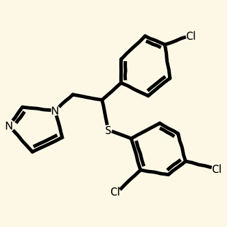 Clc1ccc(C(Cn2ccnc2)Sc2ccc(Cl)cc2Cl)cc1